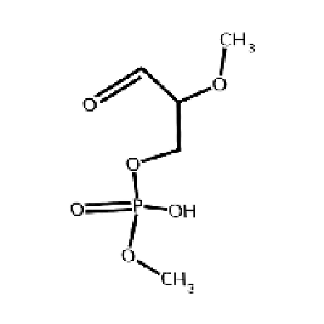 COC(C=O)COP(=O)(O)OC